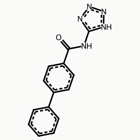 O=C(Nc1nnn[nH]1)c1ccc(-c2ccccc2)cc1